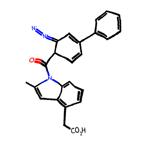 Cc1cc2c(CC(=O)O)cccc2n1C(=O)C1C=CC(c2ccccc2)=CC1=[N+]=[N-]